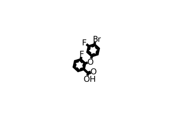 O=C(O)c1cccc(F)c1Oc1ccc(Br)c(F)c1